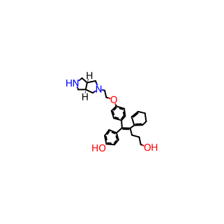 OCCC/C(C1=CCCC=C1)=C(\c1ccc(O)cc1)c1ccc(OCCN2C[C@H]3CNC[C@H]3C2)cc1